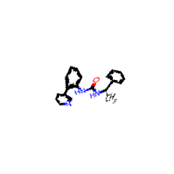 C[C@H](NC(=O)Nc1ccccc1-c1cccnc1)c1ccccc1